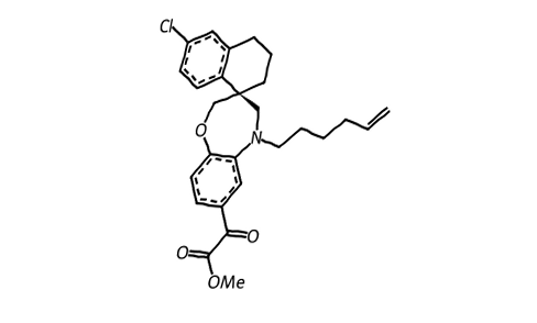 C=CCCCCN1C[C@@]2(CCCc3cc(Cl)ccc32)COc2ccc(C(=O)C(=O)OC)cc21